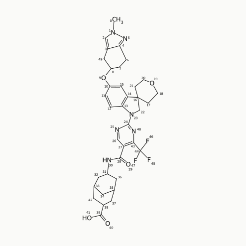 Cn1cc2c(n1)CCC(Oc1ccc3c(c1)C1(CCOCC1)CN3c1ncc(C(=O)NC3CC4CC(C3)CC(C(=O)O)C4)c(C(F)(F)F)n1)C2